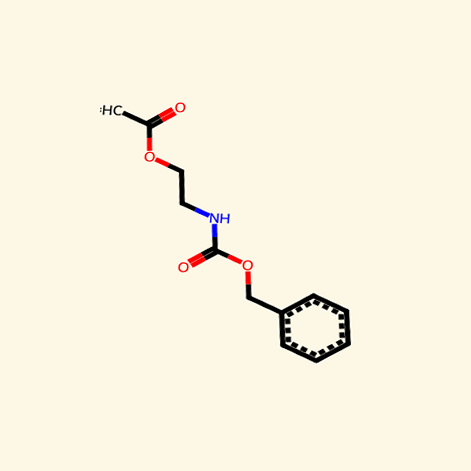 [CH]C(=O)OCCNC(=O)OCc1ccccc1